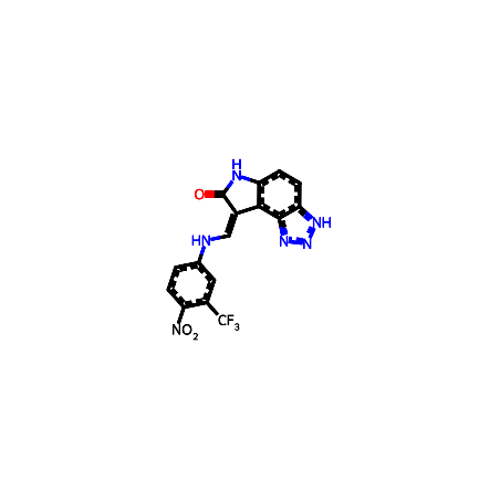 O=C1Nc2ccc3[nH]nnc3c2/C1=C/Nc1ccc([N+](=O)[O-])c(C(F)(F)F)c1